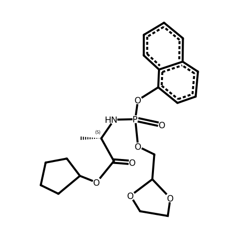 C[C@H](NP(=O)(OCC1OCCO1)Oc1cccc2ccccc12)C(=O)OC1CCCC1